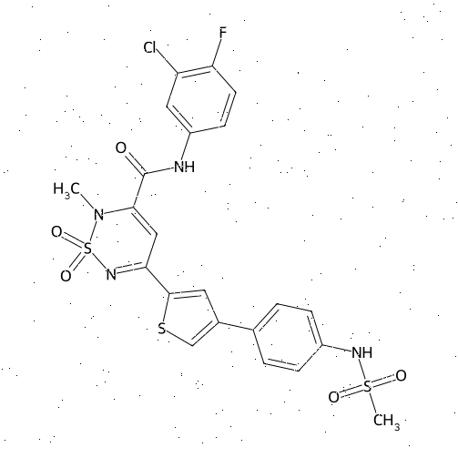 CN1C(C(=O)Nc2ccc(F)c(Cl)c2)=CC(c2cc(-c3ccc(NS(C)(=O)=O)cc3)cs2)=NS1(=O)=O